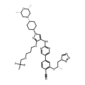 C[C@@H]1CN([C@H]2CC[C@H](n3cc(Nc4ncc(-c5ccc(C#N)c(O[C@@H](C)Cn6cnnn6)c5)cn4)c(OCCCOCC(F)(F)F)n3)CC2)C[C@H](C)O1